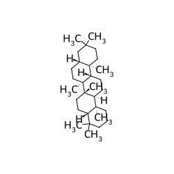 CC1(C)CC[C@]2(C)[C@H](CC[C@@]3(C)[C@H]2CC[C@H]2[C@@]4(C)CCCC(C)(C)[C@@H]4CC[C@@]23C)C1